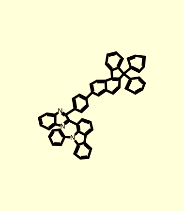 c1ccc(-n2c3ccccc3c3cccc(-c4nc5ccccc5nc4-c4ccc(-c5ccc6c7c(ccc6c5)C(c5ccccc5)(c5ccccc5)c5ccccc5-7)cc4)c32)cc1